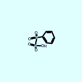 O=S(=O)(O)S(=O)(=O)c1ccccc1